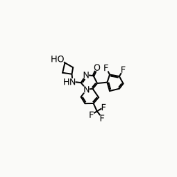 O=c1nc(NC2CC(O)C2)n2ccc(C(F)(F)F)cc2c1-c1cccc(F)c1F